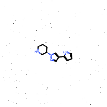 c1c[nH]c(-c2cnn([C@@H]3CCCNC3)c2)c1